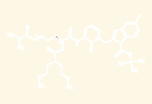 COCCN(CCOC)C(=O)O[C@@H](CC/C=C/C(=O)N(C)C)C(=O)Nc1cccn(Cc2cc3cc(F)ccc3n2C(=O)OC(C)(C)C)c1=O